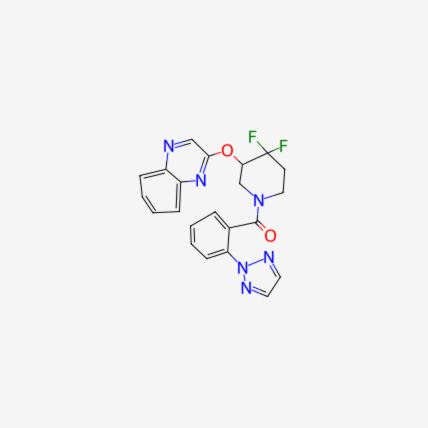 O=C(c1ccccc1-n1nccn1)N1CCC(F)(F)C(Oc2cnc3ccccc3n2)C1